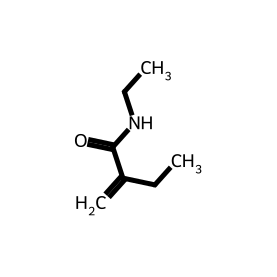 C=C(CC)C(=O)NCC